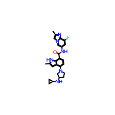 Cc1cn2cc(NC(=O)c3ccc(N4CCC(NC5CC5)C4)c4cc(C)[nH]c34)cc(F)c2n1